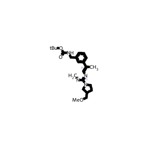 C=N/C(=N\C=C(/C)c1cccc(CNC(=O)OC(C)(C)C)c1)N1CCC(COC)C1